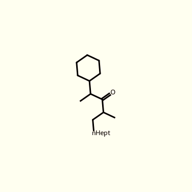 CCCCCCCCC(C)C(=O)C(C)C1CCCCC1